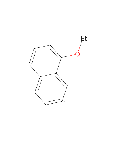 CCOc1cccc2cc[c]cc12